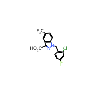 O=C(O)c1nn(Cc2ccc(F)cc2Cl)c2ccc(C(F)(F)F)cc12